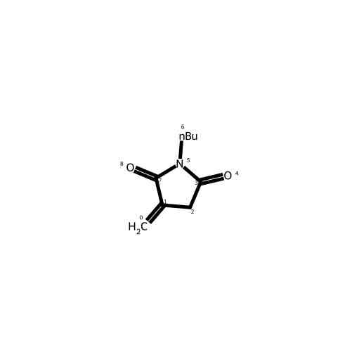 C=C1CC(=O)N(CCCC)C1=O